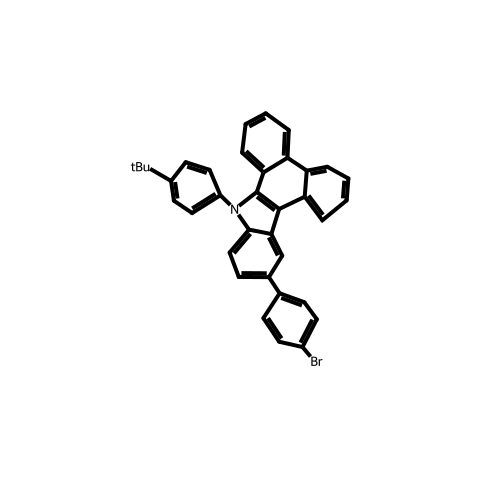 CC(C)(C)c1ccc(-n2c3ccc(-c4ccc(Br)cc4)cc3c3c4ccccc4c4ccccc4c32)cc1